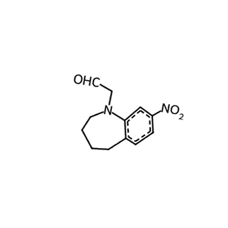 O=CCN1CCCCc2ccc([N+](=O)[O-])cc21